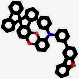 c1ccc(N(c2cccc(-c3ccc4oc5ccccc5c4c3)c2)c2cccc3c2Oc2c(ccc4c2-c2ccccc2C42c4ccccc4-c4ccccc42)O3)cc1